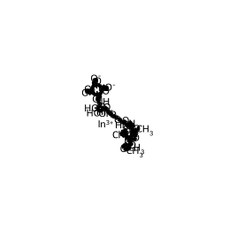 COc1cc2c(cc1-c1cncc(NC(=O)CCOCCOCCNC(=O)[C@H]3O[C@@H](CNC(=O)CN4CCN(CC(=O)[O-])CCN(CC(=O)[O-])CCN(CC(=O)[O-])CC4)[C@H](O)[C@@H](O)[C@H]3O)c1)-c1c(c(C(=O)N3CCOCC3(C)C)nn1-c1cc(Cl)cc(Cl)c1)CO2.[In+3]